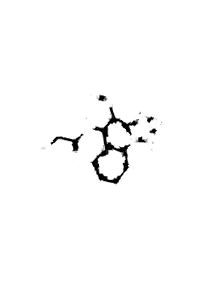 O=Nc1c(OC(=O)CF)c2ccccc2n2nnnc12